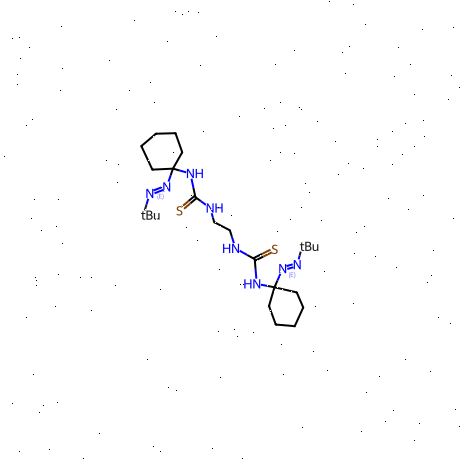 CC(C)(C)/N=N/C1(NC(=S)NCCNC(=S)NC2(/N=N/C(C)(C)C)CCCCC2)CCCCC1